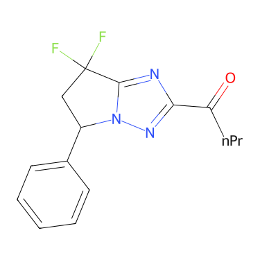 CCCC(=O)c1nc2n(n1)C(c1ccccc1)CC2(F)F